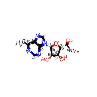 CNC(=O)[C@H]1O[C@@H](n2cnc3c(C)ncnc32)[C@H](O)[C@@H]1O